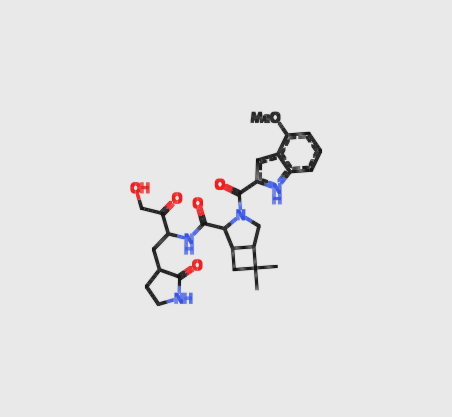 COc1cccc2[nH]c(C(=O)N3CC4C(CC4(C)C)C3C(=O)NC(CC3CCNC3=O)C(=O)CO)cc12